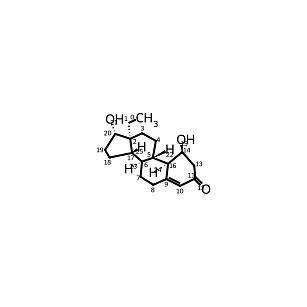 CC[C@]12CC[C@H]3[C@@H](CCC4=CC(=O)C[C@H](O)[C@@H]43)[C@@H]1CC[C@@H]2O